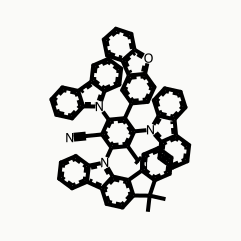 CC1(C)c2ccccc2-c2c1ccc1c3ccccc3n(-c3c(C#N)c(-n4c5ccccc5c5ccccc54)c(-c4ccc5oc6ccccc6c5c4)c(-n4c5ccccc5c5ccccc54)c3C#N)c21